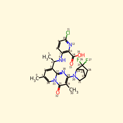 Cc1cc([C@@H](C)Nc2ccc(Cl)nc2C(=O)O)c2nc(N3CC4CC3C(F)(F)C4)c(C)c(=O)n2c1